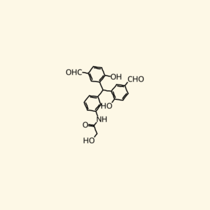 O=Cc1ccc(O)c(C(c2cccc(NC(=O)CO)c2)c2cc(C=O)ccc2O)c1